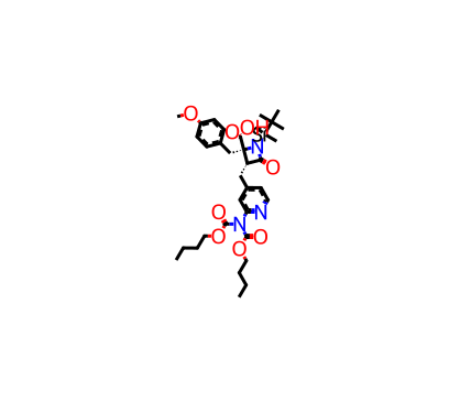 CCCCOC(=O)N(C(=O)OCCCC)c1cc(C[C@H]2C(=O)N([Si](C)(C)C(C)(C)C)[C@]2(Cc2ccc(OC)cc2)C(=O)O)ccn1